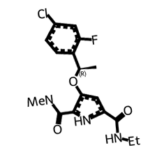 CCNC(=O)c1cc(O[C@H](C)c2ccc(Cl)cc2F)c(C(=O)NC)[nH]1